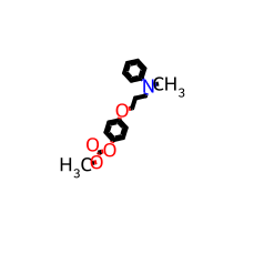 COC(=O)Oc1ccc(OCCCN(C)c2ccccc2)cc1